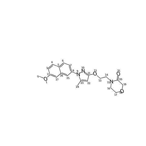 COc1ccc2ccc(-n3nc(OCCN4CCOCC4=O)cc3C)cc2c1